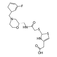 O=C(O)CC1=CSC(SCC(=O)NC[C@H]2CN(CC3C=C(F)C=CC3)CCO2)N1